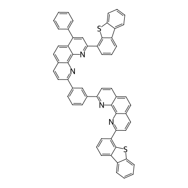 c1ccc(-c2cc(-c3cccc4c3sc3ccccc34)nc3c2ccc2ccc(-c4cccc(-c5ccc6ccc7ccc(-c8cccc9c8sc8ccccc89)nc7c6n5)c4)nc23)cc1